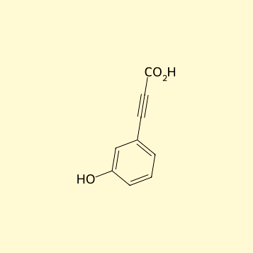 O=C(O)C#Cc1cccc(O)c1